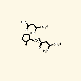 NC(=O)CC(N)C(=O)O.NC(=O)CC(N)C(=O)O.O=C(O)C1CCCN1